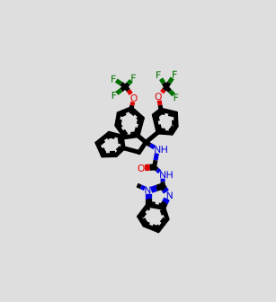 Cn1c(NC(=O)NC(Cc2ccccc2)(c2cccc(OC(F)(F)F)c2)c2cccc(OC(F)(F)F)c2)nc2ccccc21